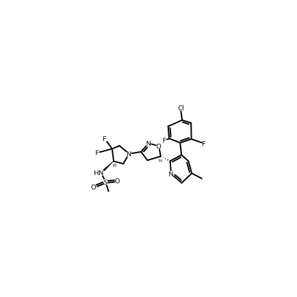 Cc1cnc([C@@H]2CC(N3C[C@@H](NS(C)(=O)=O)C(F)(F)C3)=NO2)c(-c2c(F)cc(Cl)cc2F)c1